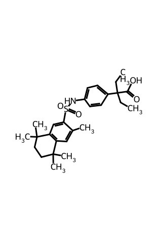 CCC(CC)(C(=O)O)c1ccc(NS(=O)(=O)c2cc3c(cc2C)C(C)(C)CCC3(C)C)cc1